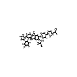 C=CC(=O)Nc1cc(Nc2cc(N3OCC[C@@H]3c3ccc(F)c(F)c3)ncn2)c(OC)cc1N1CCC(N2CCN(C(C)=O)CC2)CC1